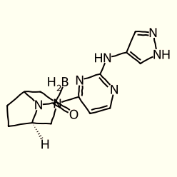 BC(=O)N1C2CC[C@@H]1CN(c1ccnc(Nc3cn[nH]c3)n1)C2